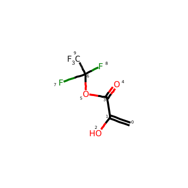 C=C(O)C(=O)OC(F)(F)C(F)(F)F